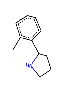 Cc1ccccc1C1CCCN1